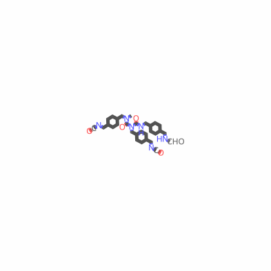 CN(CC1CCC(CN=C=O)CC1)C(=O)N(CC1CCC(CN=C=O)CC1)C(=O)NCC1CCC(CNC=O)CC1